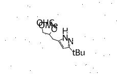 COCC(Cc1cc(C(C)(C)C)n[nH]1)OC=O